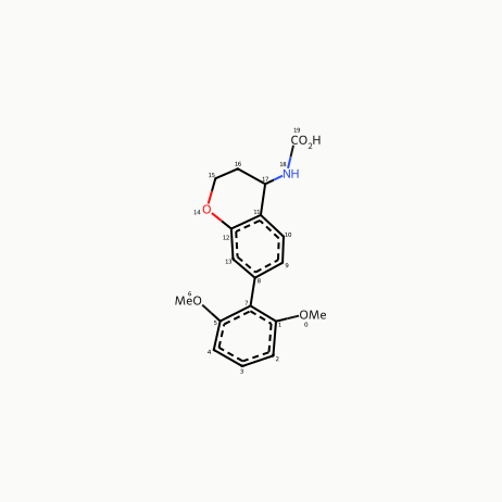 COc1cccc(OC)c1-c1ccc2c(c1)OCCC2NC(=O)O